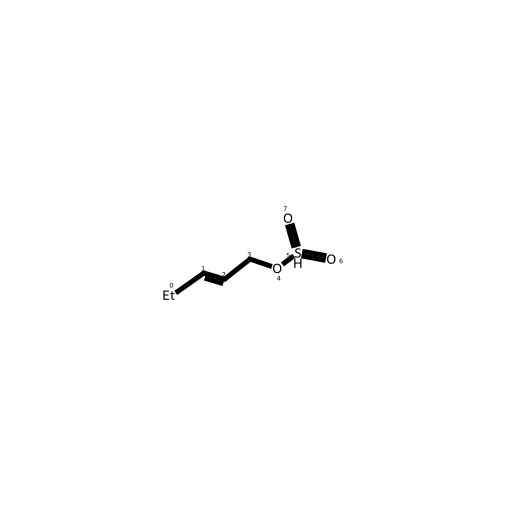 CC/C=C/CO[SH](=O)=O